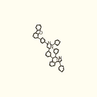 c1ccc(-c2nc(-c3ccc(-c4cccc5c4oc4ccccc45)cc3)cc(-c3cccc(-c4c(-c5ccccc5)n5ncc(-c6ccccc6)c5c5ccccc45)c3)n2)cc1